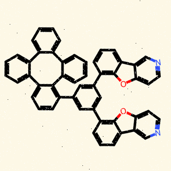 c1ccc2c(c1)-c1ccccc1-c1cccc(-c3cc(-c4cccc5c4oc4ccncc45)cc(-c4cccc5c4oc4ccncc45)c3)c1-c1ccccc1-2